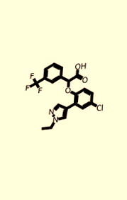 CCn1cc(-c2cc(Cl)ccc2OC(C(=O)O)c2cccc(C(F)(F)F)c2)cn1